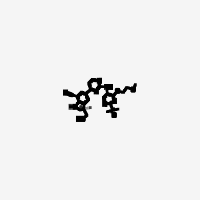 COCCOc1nc(P(C)(C)=O)ncc1Nc1nccc(-c2cc(C#N)c3c(c2)[C@@](C)(CO)CN3)n1